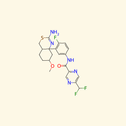 COC1CCC2CSC(N)=NC2(c2cc(NC(=O)c3cnc(C(F)F)cn3)ccc2F)C1